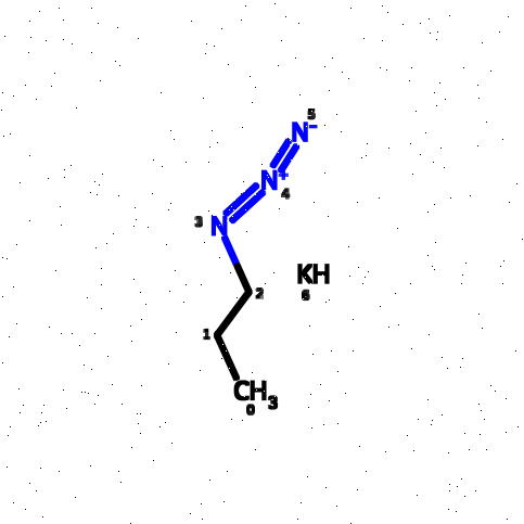 CCCN=[N+]=[N-].[KH]